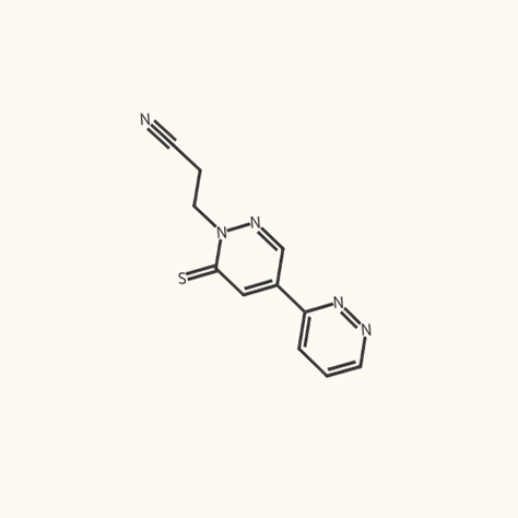 N#CCCn1ncc(-c2cccnn2)cc1=S